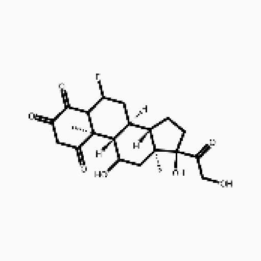 C[C@]12C(=O)CC(=O)C(=O)C1C(F)C[C@@H]1[C@@H]2C(O)C[C@@]2(C)[C@H]1CC[C@]2(O)C(=O)CO